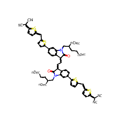 [C-]#[N+]C([N+]#[C-])=c1cc/c(=C\c2ccc(-c3ccc4c(c3)N(CC(CCCCCCCCCC)CCCCCCCCCCCC)C(=O)/C4=C/C=C3/C(=O)N(CC(CCCCCCCCCC)CCCCCCCCCCCC)c4cc(-c5ccc(/C=c6\ccc(=C(C#N)C#N)s6)s5)ccc43)s2)s1